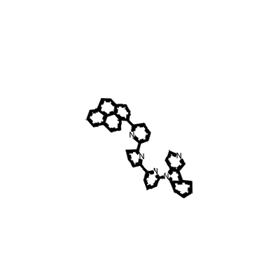 c1cc(-c2cccc(-c3ccc4ccc5cccc6ccc3c4c56)n2)nc(-c2cccc(-n3c4ccccc4c4cnccc43)n2)c1